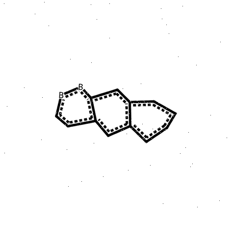 b1bc2cc3ccccc3cc2cc1